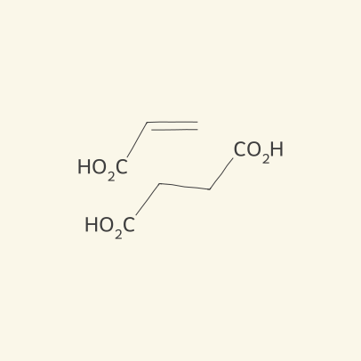 C=CC(=O)O.O=C(O)CCC(=O)O